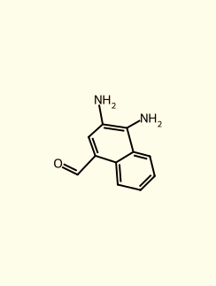 Nc1cc(C=O)c2ccccc2c1N